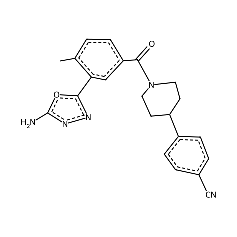 Cc1ccc(C(=O)N2CCC(c3ccc(C#N)cc3)CC2)cc1-c1nnc(N)o1